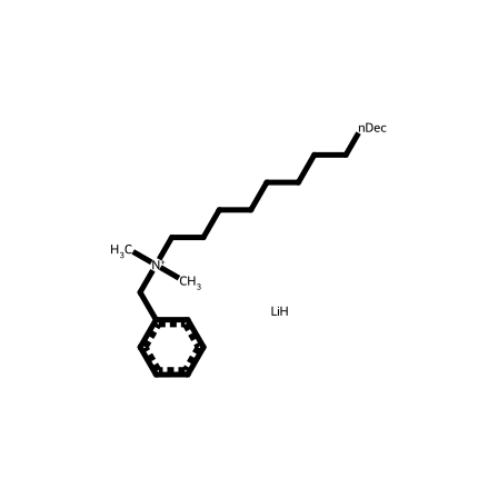 CCCCCCCCCCCCCCCCCC[N+](C)(C)Cc1ccccc1.[LiH]